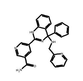 NC(=O)c1cncc(C2=NC(NCc3ccccn3)(c3ccccc3)c3ccccc3N2)c1